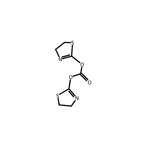 O=C(OC1=NCCS1)OC1=NCCS1